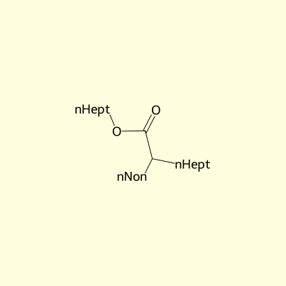 CCCCCCCCCC(CCCCCCC)C(=O)OCCCCCCC